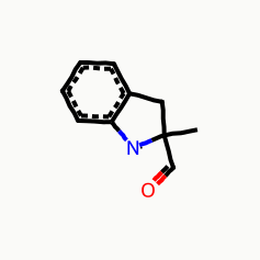 CC1(C=O)Cc2ccccc2[N]1